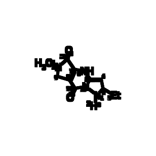 [2H]N1C(CC)C=C2NC3=C(CN(C)C3=O)C(=O)N21